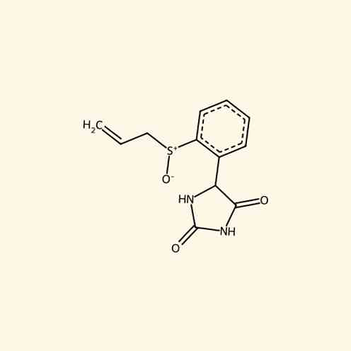 C=CC[S+]([O-])c1ccccc1C1NC(=O)NC1=O